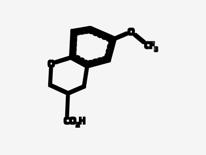 O=C(O)C1COc2ccc(OC(F)(F)F)cc2C1